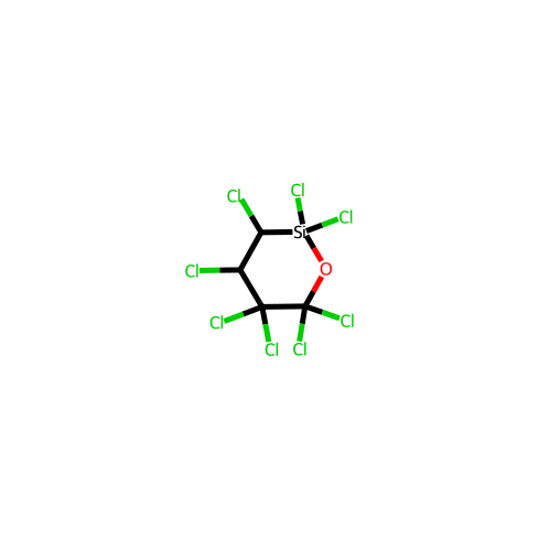 ClC1C(Cl)[Si](Cl)(Cl)OC(Cl)(Cl)C1(Cl)Cl